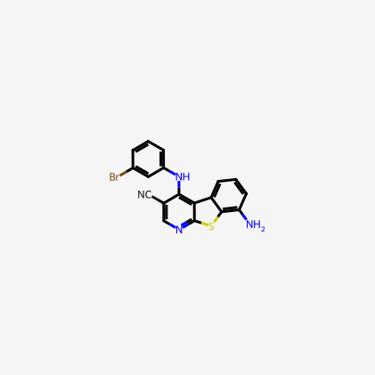 N#Cc1cnc2sc3c(N)cccc3c2c1Nc1cccc(Br)c1